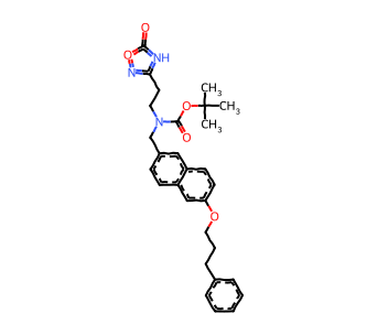 CC(C)(C)OC(=O)N(CCc1noc(=O)[nH]1)Cc1ccc2cc(OCCCc3ccccc3)ccc2c1